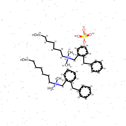 CCCCCCCCCCCCCCCC[N+](C)(C)Cc1ccccc1Cc1ccccc1.CCCCCCCCCCCCCCCC[N+](C)(C)Cc1ccccc1Cc1ccccc1.O=S(=O)([O-])[O-]